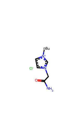 CCCC[n+]1ccn(CC(N)=O)c1.[Cl-]